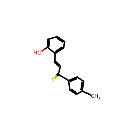 Cc1ccc(C(=S)C=Cc2ccccc2O)cc1